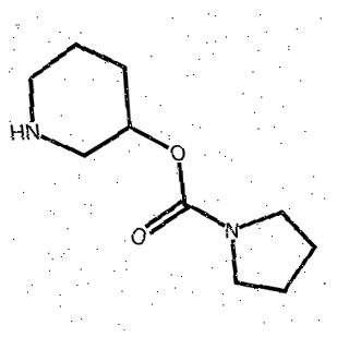 O=C(OC1CCCNC1)N1CCCC1